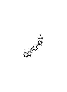 Cn1nc(C(F)(F)I)cc1-c1ccc(NCc2c(F)cccc2F)cc1